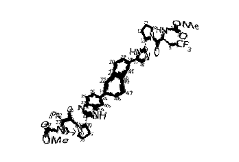 COC(=O)N[C@@H](CC(F)(F)F)C(=O)N1CCC[C@H]1c1ncc(-c2ccc3cc(-c4ccc5nc([C@@H]6CCCN6C(=O)[C@@H](NC(=O)OC)C(C)C)[nH]c5c4)ccc3c2)[nH]1